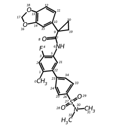 Cc1cc(F)c(NC(=O)C2(c3ccc4c(c3)OCO4)CC2)cc1-c1ccc(S(=O)(=O)N(C)C)cc1